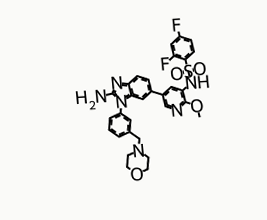 COc1ncc(-c2ccc3nc(N)n(-c4cccc(CN5CCOCC5)c4)c3c2)cc1NS(=O)(=O)c1ccc(F)cc1F